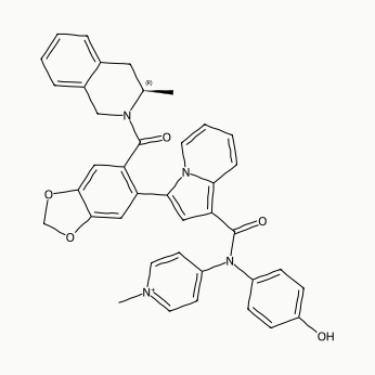 C[C@@H]1Cc2ccccc2CN1C(=O)c1cc2c(cc1-c1cc(C(=O)N(c3ccc(O)cc3)c3cc[n+](C)cc3)c3ccccn13)OCO2